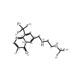 O=c1c(I)cnc2c(C(F)(F)F)cc(CNCCOC(F)F)cn12